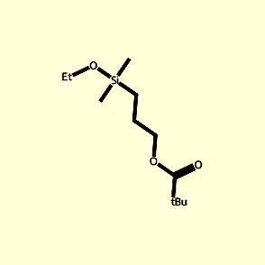 CCO[Si](C)(C)CCCOC(=O)C(C)(C)C